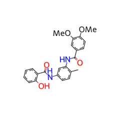 COc1ccc(C(=O)Nc2cc(NC(=O)c3ccccc3O)ccc2C)cc1OC